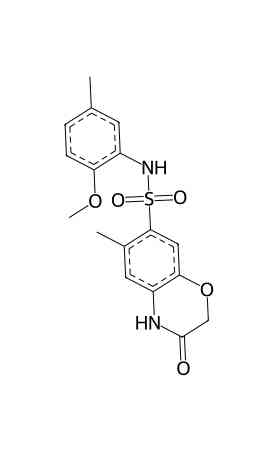 COc1ccc(C)cc1NS(=O)(=O)c1cc2c(cc1C)NC(=O)CO2